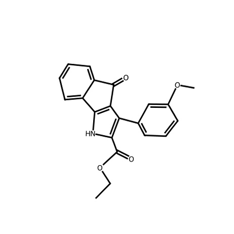 CCOC(=O)c1[nH]c2c(c1-c1cccc(OC)c1)C(=O)c1ccccc1-2